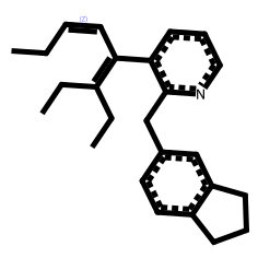 CC/C=C\C(=C(CC)CC)c1cccnc1Cc1ccc2c(c1)CCC2